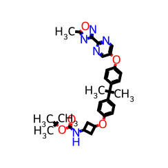 Cc1nc(-c2ncc(Oc3ccc(C(C)(C)c4ccc(OC5CC(NC(=O)OC(C)(C)C)C5)cc4)cc3)cn2)no1